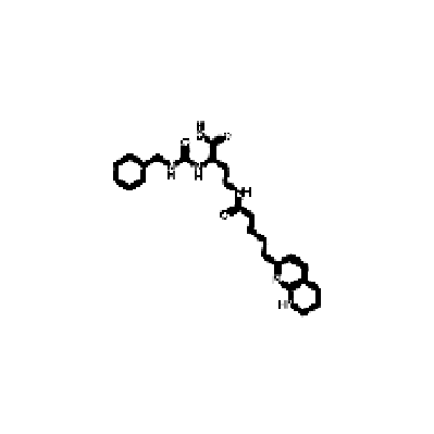 O=C(CCCCc1ccc2c(n1)NCCC2)NCCC(NC(=O)NCC1CCCCC1)C(=O)O